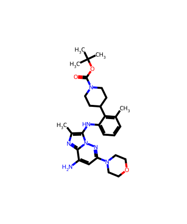 Cc1cccc(Nc2c(C)nc3c(N)cc(N4CCOCC4)nn23)c1C1CCN(C(=O)OC(C)(C)C)CC1